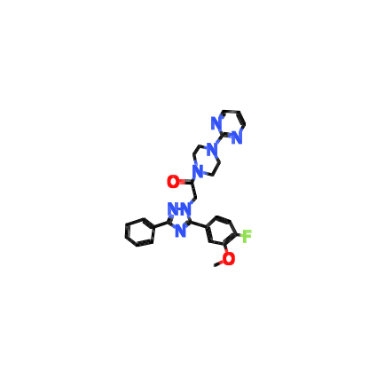 COc1cc(-c2nc(-c3ccccc3)nn2CC(=O)N2CCN(c3ncccn3)CC2)ccc1F